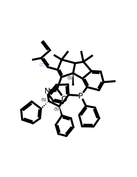 C=C/C(C)=C\C1=C(C2=N[C@@H](c3ccccc3)[C@H](c3ccccc3)O2)[C@@]2(C)c3c(P(c4ccccc4)c4ccccc4)cc(C)cc3C(C)(C)C2C1(C)C